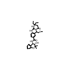 CCC1(CC)CC(=O)N(C(COC)c2cccc(C(=O)N[C@@H]3c4ccccc4OC(C)(C)[C@H]3O)c2)C(=N)N1